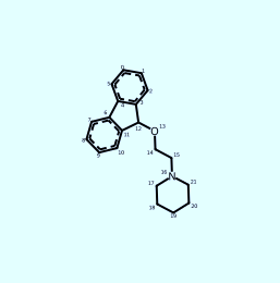 c1ccc2c(c1)-c1ccccc1C2OCCN1CCCCC1